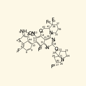 N#Cc1c(N)sc2c(F)ccc(-c3c(Cl)c4c5c(nc(OCC67CCCN6C[C@H](F)C7)nc5c3F)N3CCCC(F)(F)C3CO4)c12